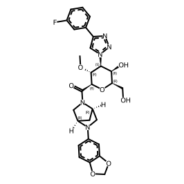 CO[C@@H]1[C@@H](n2cc(-c3cccc(F)c3)nn2)[C@@H](O)[C@@H](CO)O[C@H]1C(=O)N1C[C@H]2C[C@@H]1CN2c1ccc2c(c1)OCO2